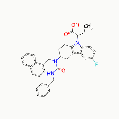 CCC(C(=O)O)n1c2c(c3cc(F)ccc31)CC(N(Cc1cccc3ccccc13)C(=O)NCc1ccccc1)CC2